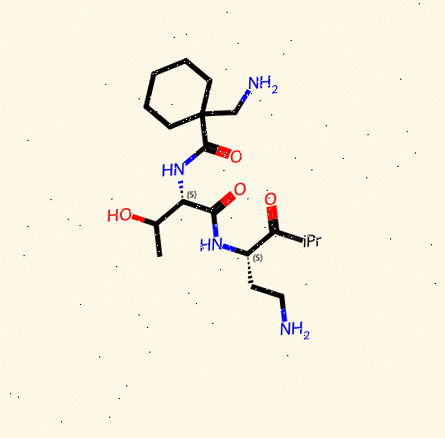 CC(C)C(=O)[C@H](CCN)NC(=O)[C@@H](NC(=O)C1(CN)CCCCC1)C(C)O